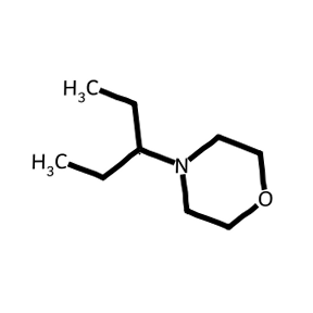 CC[C](CC)N1CCOCC1